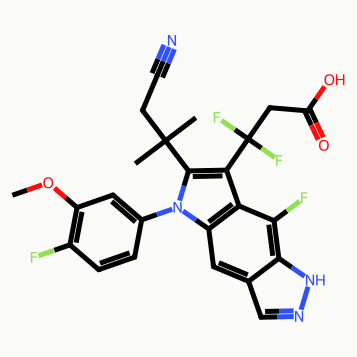 COc1cc(-n2c(C(C)(C)CC#N)c(C(F)(F)CC(=O)O)c3c(F)c4[nH]ncc4cc32)ccc1F